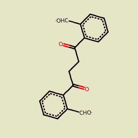 O=[C]c1ccccc1C(=O)CCC(=O)c1ccccc1[C]=O